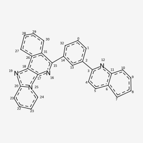 c1cc(-c2ccc3ccccc3n2)cc(-c2nc3c(nc4ccccn43)c3ccccc23)c1